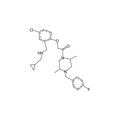 CC1CN(C(=O)COc2ccc(Cl)cc2CNCC2CC2)C(C)CN1Cc1ccc(F)cc1